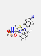 CCC(c1ccccc1)N(c1ccc(C#N)cc1)c1nc(C(=O)NS(C)(=O)=O)c(C)s1